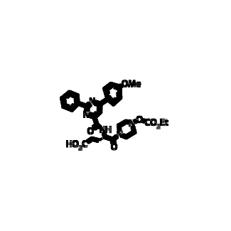 CCOC(=O)ON1CCN(C(=O)[C@H](CCC(=O)O)NC(=O)c2cc(-c3ccc(OC)cc3)nc(-c3ccccc3)n2)CC1